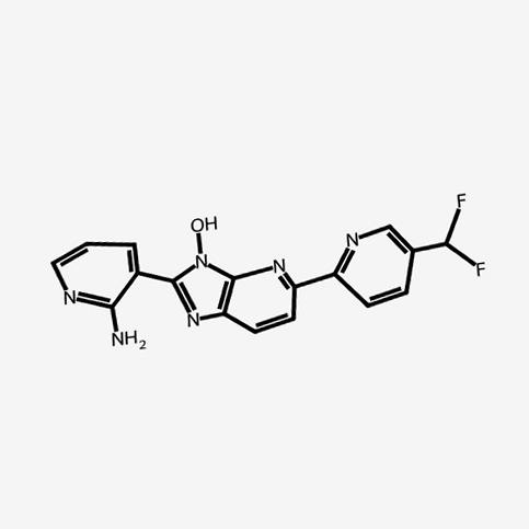 Nc1ncccc1-c1nc2ccc(-c3ccc(C(F)F)cn3)nc2n1O